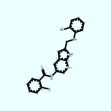 N#Cc1ccccc1NCc1cc2cc(NC(=O)c3ccccc3Br)cnc2[nH]1